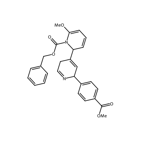 COC(=O)c1ccc(C2C=C(C3C=CC=C(OC)N3C(=O)OCc3ccccc3)CC=N2)cc1